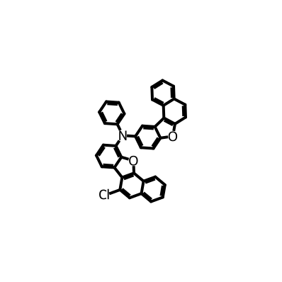 Clc1cc2ccccc2c2oc3c(N(c4ccccc4)c4ccc5oc6ccc7ccccc7c6c5c4)cccc3c12